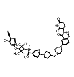 CC1(C)C(NC(=O)c2ccc(N3CCC(CN4CCN(c5ccc6nnn(C7CCC(=O)NC7=O)c(=O)c6c5)CC4)CC3)nc2)C(C)(C)C1Oc1ccc(C#N)c(Cl)c1